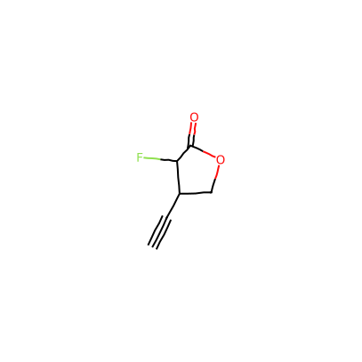 C#CC1COC(=O)C1F